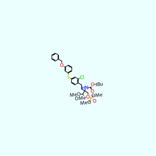 COC(OC)C(CCc1ccc(Sc2cccc(OCc3ccccc3)c2)cc1Cl)(COP(=O)(OC)OC)NC(=O)OC(C)(C)C